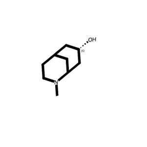 CN1CCC2CC1C[C@@H](O)C2